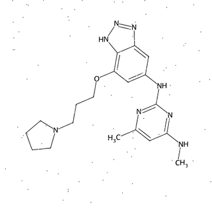 CNc1cc(C)nc(Nc2cc(OCCCN3CCCC3)c3[nH]nnc3c2)n1